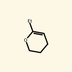 CCC1=CCCCO1